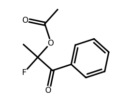 CC(=O)OC(C)(F)C(=O)c1ccccc1